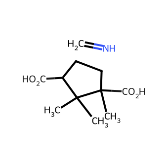 C=N.CC1(C(=O)O)CCC(C(=O)O)C1(C)C